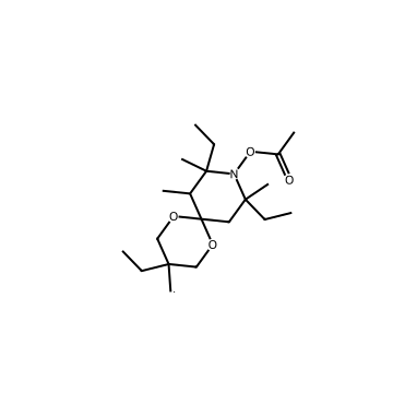 [CH2]C1(CC)COC2(CC(C)(CC)N(OC(C)=O)C(C)(CC)C2C)OC1